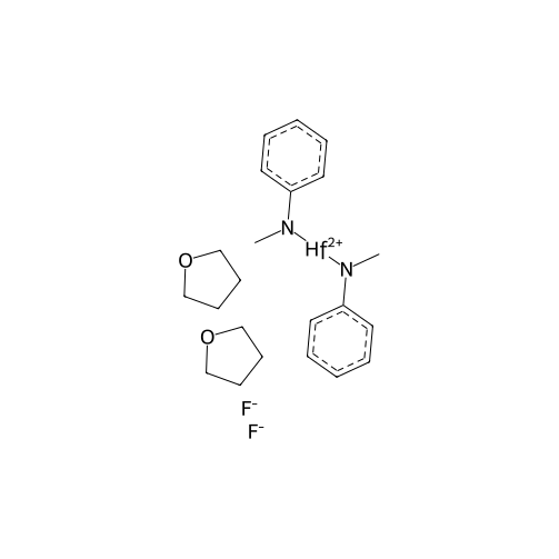 C1CCOC1.C1CCOC1.C[N]([Hf+2][N](C)c1ccccc1)c1ccccc1.[F-].[F-]